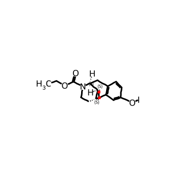 CCOC(=O)N1CC[C@@]23CCCC[C@@H]2[C@@H]1Cc1ccc(OI)cc13